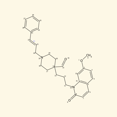 COc1ccc2ccc(=O)n(CCCC3(C=O)CCN(C/C=C/c4ccccc4)CC3)c2c1